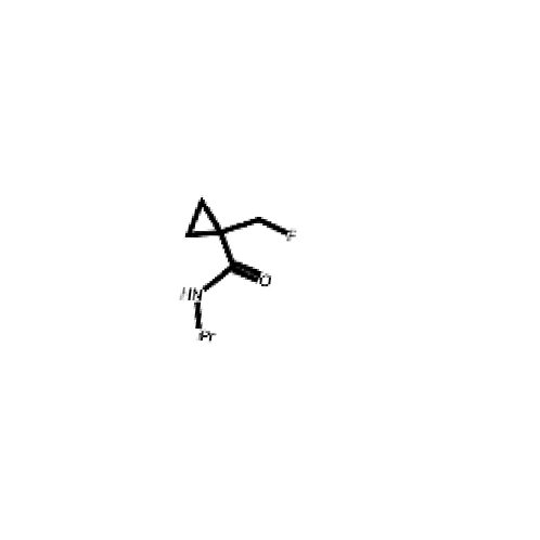 CC(C)NC(=O)C1(CF)CC1